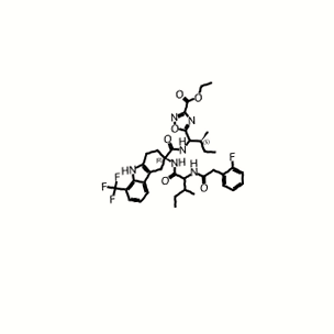 CCOC(=O)c1noc(C(NC(=O)[C@@]2(NC(=O)C(NC(=O)Cc3ccccc3F)C(C)CC)CCc3[nH]c4c(C(F)(F)F)cccc4c3C2)[C@@H](C)CC)n1